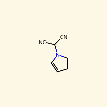 N#CC(C#N)N1C=CCC1